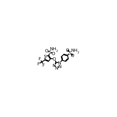 NS(=O)(=O)c1ccc(-n2nnnc2Oc2cc(C(F)(F)F)sc2S(N)(=O)=O)cc1